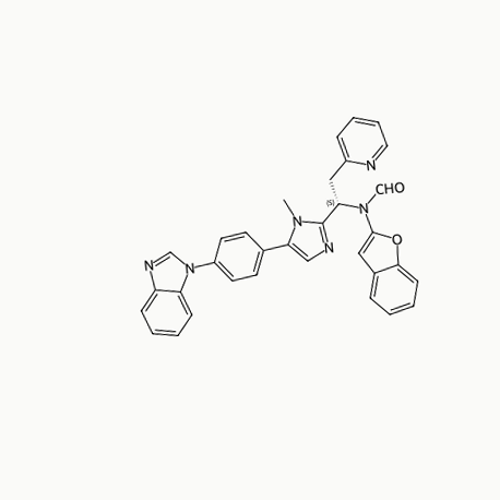 Cn1c(-c2ccc(-n3cnc4ccccc43)cc2)cnc1[C@H](Cc1ccccn1)N(C=O)c1cc2ccccc2o1